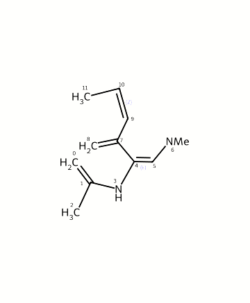 C=C(C)N/C(=C/NC)C(=C)/C=C\C